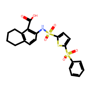 O=C(O)c1c(NS(=O)(=O)c2ccc(S(=O)(=O)c3ccccc3)s2)ccc2c1CCCC2